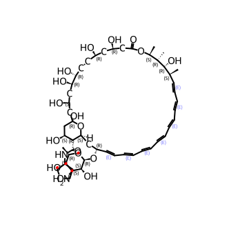 C[C@@H]1[C@H](O)[C@@H](C)/C=C/C=C/C=C/C=C/C=C/C=C/C=C/[C@H](O[C@@H]2O[C@H](C)[C@@H](O)[C@H](N)[C@@H]2O)C[C@@H]2O[C@](O)(C[C@@H](O)C[C@@H](O)[C@H](O)CC[C@@H](O)C[C@@H](O)CC(=O)O[C@H]1C)C[C@H](O)[C@H]2C(=O)NC1CCOC1